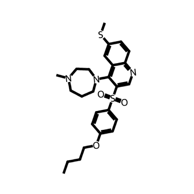 CCCCOc1ccc(S(=O)(=O)c2cnc3ccc(SC)cc3c2N2CCCN(C)CC2)cc1